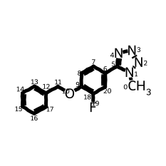 Cn1nnnc1-c1ccc(OCc2ccccc2)c(F)c1